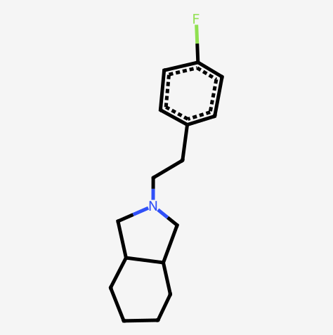 Fc1ccc(CCN2CC3CCCCC3C2)cc1